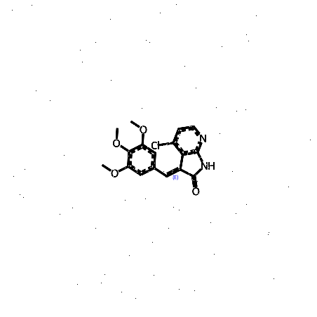 COc1cc(/C=C2/C(=O)Nc3nccc(Cl)c32)cc(OC)c1OC